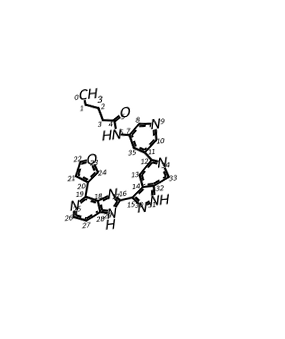 CCCCC(=O)Nc1cncc(-c2cc3c(-c4nc5c(-c6ccoc6)nccc5[nH]4)n[nH]c3cn2)c1